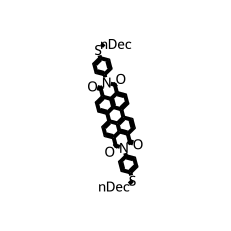 CCCCCCCCCCSc1ccc(N2C(=O)c3ccc4c5ccc6c7c(ccc(c8ccc(c3c48)C2=O)c75)C(=O)N(c2ccc(SCCCCCCCCCC)cc2)C6=O)cc1